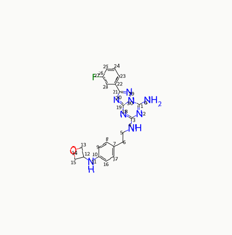 Nc1nc(NCCc2ccc(NC3COC3)cc2)nc2nc(-c3cccc(F)c3)nn12